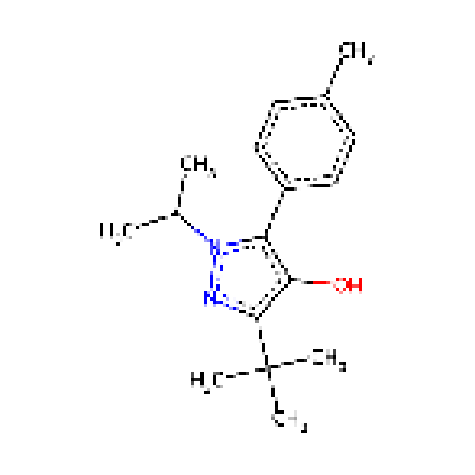 Cc1ccc(-c2c(O)c(C(C)(C)C)nn2C(C)C)cc1